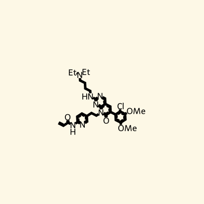 C=CC(=O)Nc1ccc(CCn2c(=O)c(-c3cc(OC)cc(OC)c3Cl)cc3cnc(NCCCCN(CC)CC)nc32)cn1